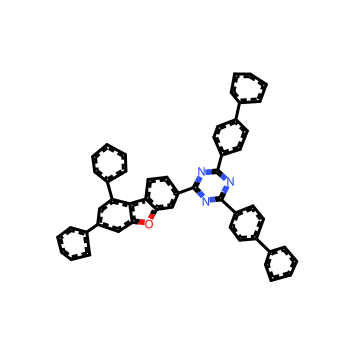 c1ccc(-c2ccc(-c3nc(-c4ccc(-c5ccccc5)cc4)nc(-c4ccc5c(c4)oc4cc(-c6ccccc6)cc(-c6ccccc6)c45)n3)cc2)cc1